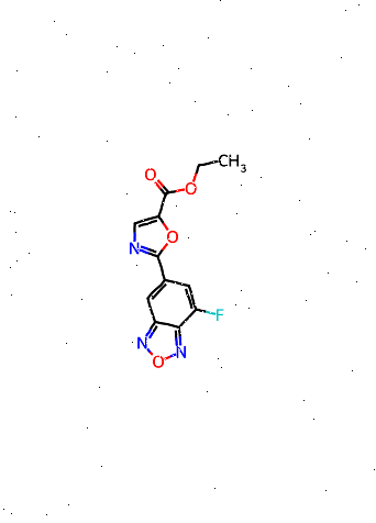 CCOC(=O)c1cnc(-c2cc(F)c3nonc3c2)o1